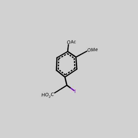 COc1cc(C(I)C(=O)O)ccc1OC(C)=O